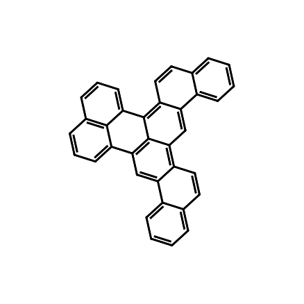 c1ccc2c(c1)ccc1c2cc2c3cccc4cccc(c43)c3c4ccc5ccccc5c4cc1c23